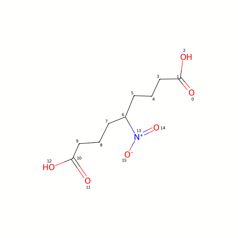 O=C(O)CCCC(CCCC(=O)O)[N+](=O)[O-]